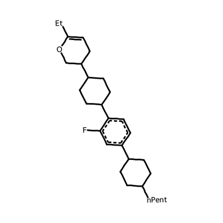 CCCCCC1CCC(c2ccc(C3CCC(C4CC=C(CC)OC4)CC3)c(F)c2)CC1